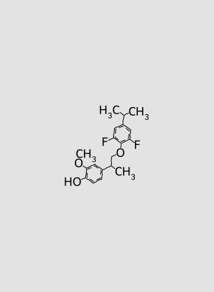 COc1cc(C(C)COc2c(F)cc(C(C)C)cc2F)ccc1O